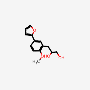 COc1[c]cc(-c2ccco2)cc1CC(O)CO